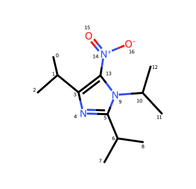 CC(C)c1nc(C(C)C)n(C(C)C)c1[N+](=O)[O-]